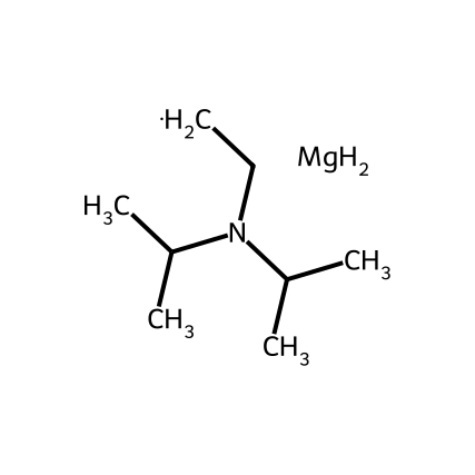 [CH2]CN(C(C)C)C(C)C.[MgH2]